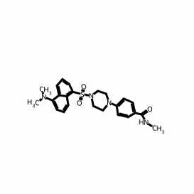 CNC(=O)c1ccc(N2CCN(S(=O)(=O)c3cccc4c(N(C)C)cccc34)CC2)cc1